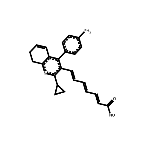 O=NC(=O)/C=C/C=C/C=C/c1c(C2CC2)nc2c(c1-c1ccc(P)cc1)C=CCC2